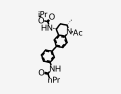 CCCC(=O)Nc1cccc(-c2ccc3c(c2)[C@H](NC(=O)OC(C)C)C[C@H](C)N3C(C)=O)c1